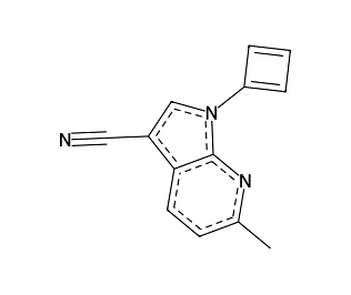 Cc1ccc2c(C#N)cn(C3=CC=C3)c2n1